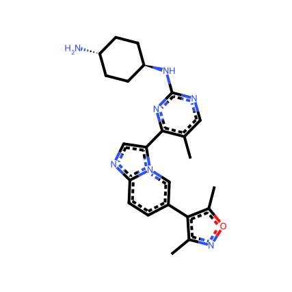 Cc1cnc(N[C@H]2CC[C@H](N)CC2)nc1-c1cnc2ccc(-c3c(C)noc3C)cn12